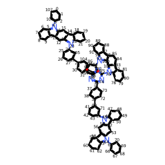 c1ccc(-n2c3ccccc3c3cc4c(cc32)c2ccccc2n4-c2cccc(-c3ccc(-c4nc(-c5ccc(-c6cccc(-n7c8ccccc8c8cc9c(cc87)c7ccccc7n9-c7ccccc7)c6)cc5)nc(-n5c6ccccc6c6ccc7c8ccccc8n(-c8ccccc8)c7c65)n4)cc3)c2)cc1